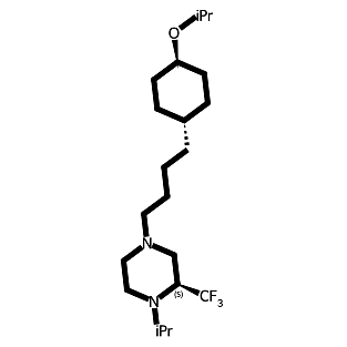 CC(C)O[C@H]1CC[C@H](CCCCN2CCN(C(C)C)[C@H](C(F)(F)F)C2)CC1